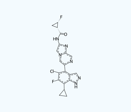 O=C(Nc1cn2cc(-c3c(Cl)c(F)c(C4CC4)c4[nH]ncc34)ncc2n1)[C@@H]1C[C@@H]1F